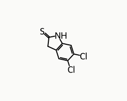 S=C1Cc2cc(Cl)c(Cl)cc2N1